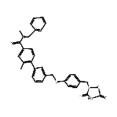 Cc1cc(C(=O)N(C)Cc2ccccc2)ccc1-c1cccc(COc2ccc(Cn3oc(=O)[nH]c3=O)cc2)c1